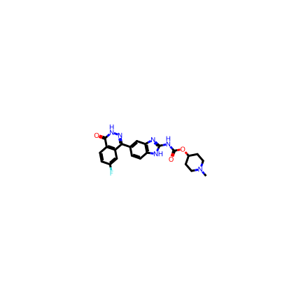 CN1CCC(OC(=O)Nc2nc3cc(-c4n[nH]c(=O)c5ccc(F)cc45)ccc3[nH]2)CC1